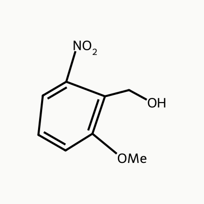 COc1cccc([N+](=O)[O-])c1CO